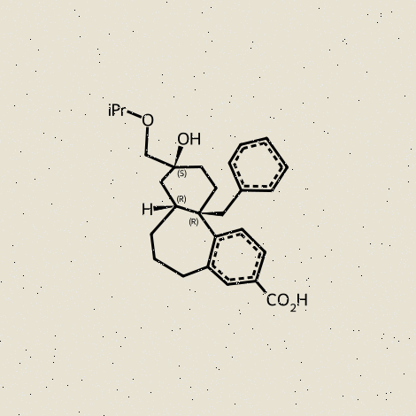 CC(C)OC[C@]1(O)CC[C@]2(Cc3ccccc3)c3ccc(C(=O)O)cc3CCC[C@@H]2C1